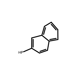 [PH]c1ccc2ccccc2c1